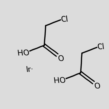 O=C(O)CCl.O=C(O)CCl.[Ir]